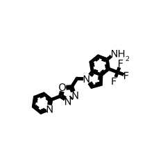 Nc1ccc2c(ccn2Cc2nnc(-c3ccccn3)o2)c1C(F)(F)F